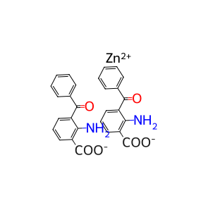 Nc1c(C(=O)[O-])cccc1C(=O)c1ccccc1.Nc1c(C(=O)[O-])cccc1C(=O)c1ccccc1.[Zn+2]